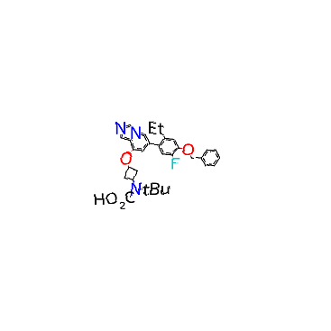 CCc1cc(OCc2ccccc2)c(F)cc1-c1cc(O[C@H]2C[C@H](N(C(=O)O)C(C)(C)C)C2)c2cncn2c1